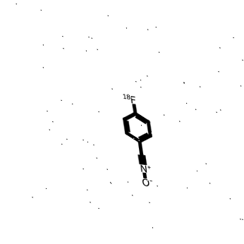 [O-][N+]#Cc1ccc([18F])cc1